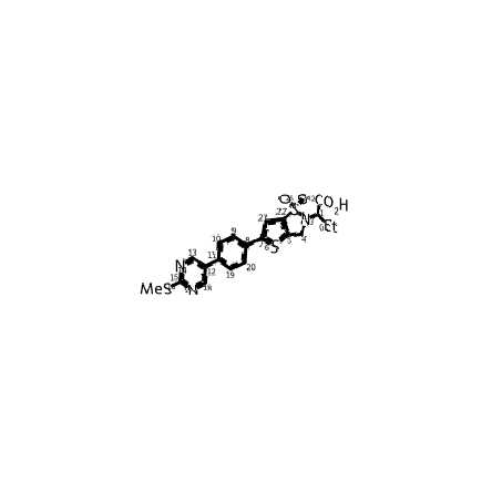 CCC(C(=O)O)N1Cc2sc(-c3ccc(-c4cnc(SC)nc4)cc3)cc2S1(=O)=O